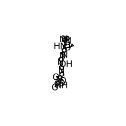 O=C1CCC(N2C(=O)c3ccc(N4CCC(O)(CN5CCC(n6cc7cc(NC(=O)c8cnn9cccnc89)c(OCC8CC8)cc7n6)CC5)CC4)cc3C2=O)C(=O)N1